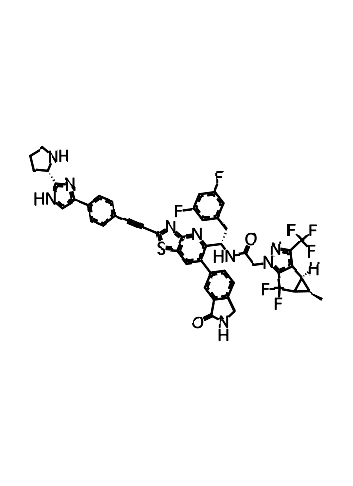 C[C@H]1C2[C@H]1c1c(C(F)(F)F)nn(CC(=O)N[C@@H](Cc3cc(F)cc(F)c3)c3nc4nc(C#Cc5ccc(-c6c[nH]c([C@@H]7CCCN7)n6)cc5)sc4cc3-c3ccc4c(c3)C(=O)NC4)c1C2(F)F